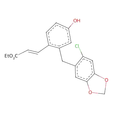 CCOC(=O)C=Cc1ccc(O)cc1Cc1cc2c(cc1Cl)OCO2